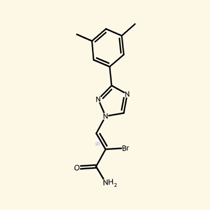 Cc1cc(C)cc(-c2ncn(/C=C(\Br)C(N)=O)n2)c1